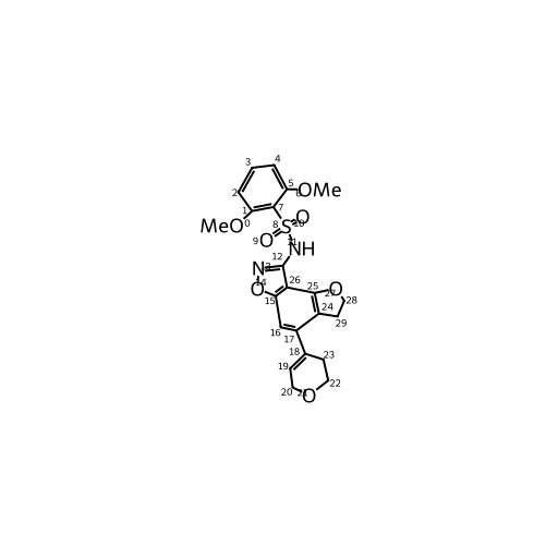 COc1cccc(OC)c1S(=O)(=O)Nc1noc2cc(C3=CCOCC3)c3c(c12)OCC3